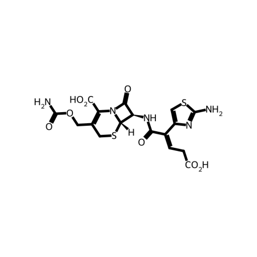 NC(=O)OCC1=C(C(=O)O)N2C(=O)[C@@H](NC(=O)C(=CCC(=O)O)c3csc(N)n3)[C@@H]2SC1